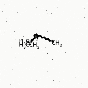 CCCCCCCCc1ccc(C#C[Si](C)(C)C)s1